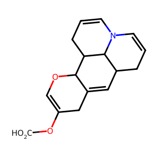 O=C(O)OC1=COC2C(=CC3CC=CN4C=CCC2C34)C1